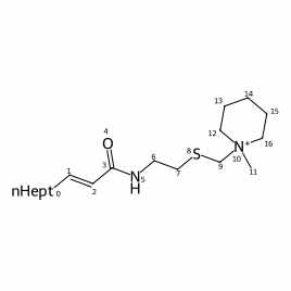 CCCCCCCC=CC(=O)NCCSC[N+]1(C)CCCCC1